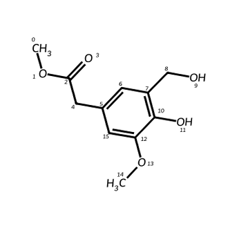 COC(=O)Cc1cc(CO)c(O)c(OC)c1